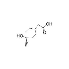 C#CC1(O)CCC(CC(=O)O)CC1